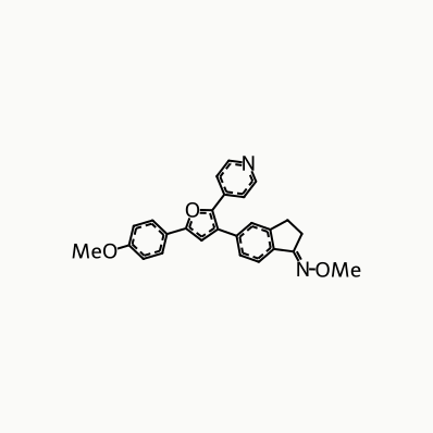 CON=C1CCc2cc(-c3cc(-c4ccc(OC)cc4)oc3-c3ccncc3)ccc21